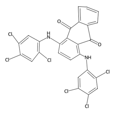 O=C1c2ccccc2C(=O)c2c(Nc3cc(Cl)c(Cl)cc3Cl)ccc(Nc3cc(Cl)c(Cl)cc3Cl)c21